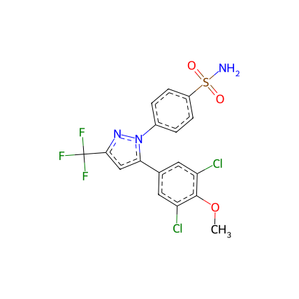 COc1c(Cl)cc(-c2cc(C(F)(F)F)nn2-c2ccc(S(N)(=O)=O)cc2)cc1Cl